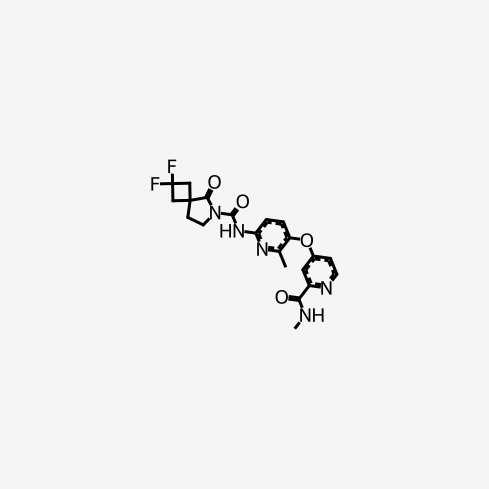 CNC(=O)c1cc(Oc2ccc(NC(=O)N3CCC4(CC(F)(F)C4)C3=O)nc2C)ccn1